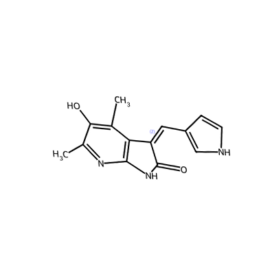 Cc1nc2c(c(C)c1O)/C(=C/c1cc[nH]c1)C(=O)N2